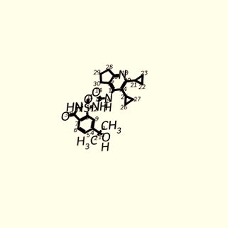 CC(C)(O)c1ccc2c(c1)[SH](=O)(NC(=O)Nc1c3c(nc(C4CC4)c1C1CC1)CCC3)NC2=O